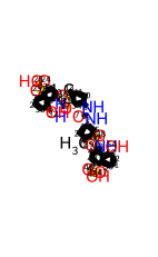 Cc1ccc(NC(=O)Nc2ccc(C)c(S(=O)(=O)Nc3ccc(S(=O)(=O)O)c4cccc(O)c34)c2)cc1S(=O)(=O)Nc1ccc(S(=O)(=O)O)c2cccc(O)c12